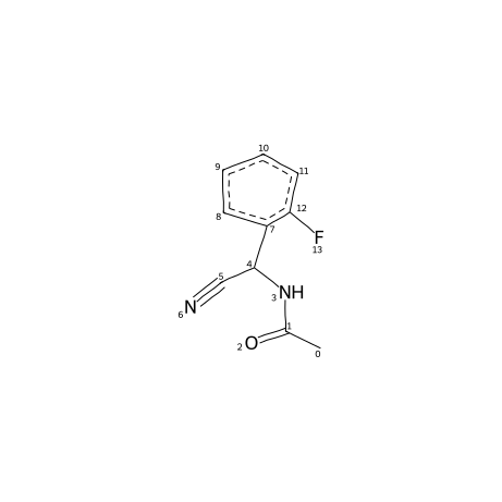 CC(=O)NC(C#N)c1ccccc1F